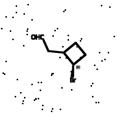 O=CCC1CC[C@H]1Br